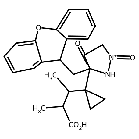 CC(C(=O)O)C(C)C1(C2(CC3c4ccccc4Oc4ccccc43)N[N+](=O)CC2=O)CC1